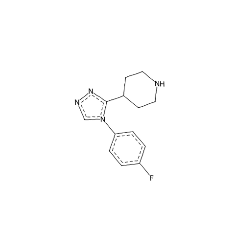 Fc1ccc(-n2cnnc2C2CCNCC2)cc1